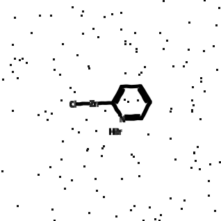 Br.[Cl][Zn][c]1ccccn1